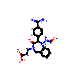 N=C(N)c1ccc(C2C(=O)N(CCC(=O)O)Cc3ccccc3N2NC=O)cc1